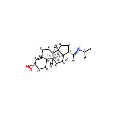 C/C(=N\C(C)C)[C@H]1CC[C@H]2[C@@H]3CCC4=C[C@H](O)CC[C@]4(C)[C@H]3CC[C@]12C